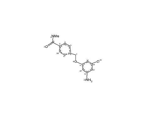 CNC(=O)c1ccc(COc2cc(N)cc(Cl)c2)cc1